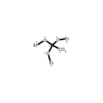 CCOC(OCC)(OCC)C(Cl)(Cl)Cl